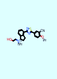 CCCN(CCO)[C@H]1CCc2c(-c3nsc(-c4ccc(OC(C)C)c(C#N)c4)n3)cccc21